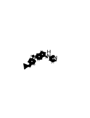 CN(c1ccc(CC2CC2)cc1)c1ccc2c(c1)CC[C@H]2CNc1cccnc1